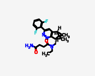 CCN(C[C@]12CC[C@H](c3cc(-c4c(F)cccc4F)nnc31)C2(C)C)C(=O)CCC(N)=O